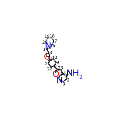 Nc1ccnc2oc(-c3ccc(OCCN4CCCCC4)cc3)cc12